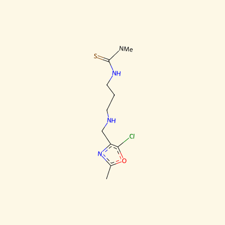 CNC(=S)NCCCNCc1nc(C)oc1Cl